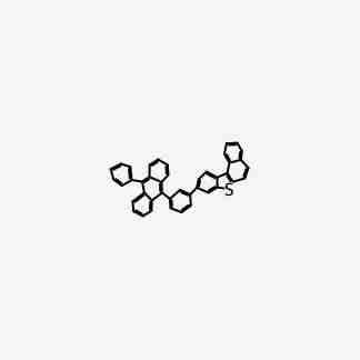 c1ccc(-c2c3ccccc3c(-c3cccc(-c4ccc5c(c4)sc4ccc6ccccc6c45)c3)c3ccccc23)cc1